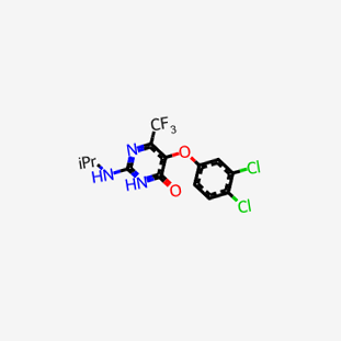 CC(C)Nc1nc(C(F)(F)F)c(Oc2ccc(Cl)c(Cl)c2)c(=O)[nH]1